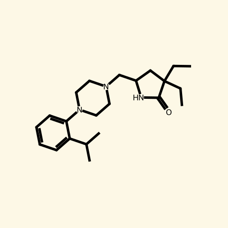 CCC1(CC)CC(CN2CCN(c3ccccc3C(C)C)CC2)NC1=O